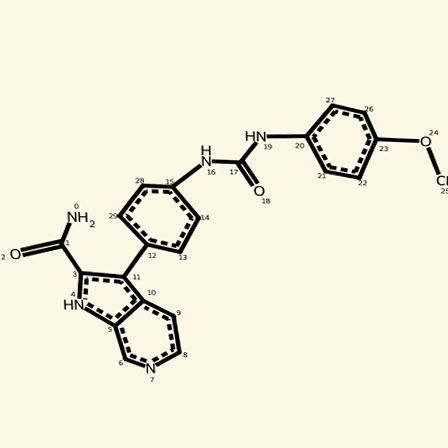 NC(=O)c1[nH]c2cnccc2c1-c1ccc(NC(=O)Nc2ccc(OC(F)(F)F)cc2)cc1